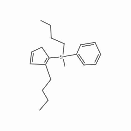 CCCCC1=C([Si](C)(CCCC)c2ccccc2)CC=C1